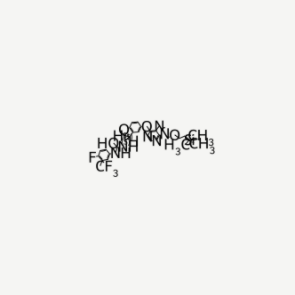 C[Si](C)(C)CCOCn1cnc2c(Oc3ccc4c(c3)[C@H]3[C@H](NC(O)Nc5ccc(F)c(C(F)(F)F)c5)[C@H]3O4)ncnc21